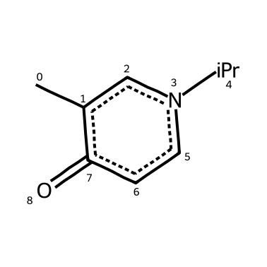 Cc1cn(C(C)C)ccc1=O